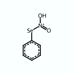 O=[N+](O)[Se]c1ccccc1